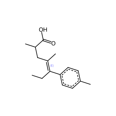 CC/C(=C(/C)CC(C)C(=O)O)c1ccc(C)cc1